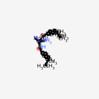 CC(C)CCCC(C)C1CCC2C3CC=C4CC(CCC(=O)NCCC[N+](CCCN)(CCCN)CCCNC(=O)CCC5CCC6(C)C(=CCC7C6CCC6(C)C(C(C)CCCC(C)C)CCC76)C5)CCC4(C)C3CCC12C